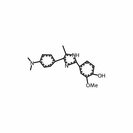 COc1cc(-c2nc(-c3ccc(N(C)C)cc3)c(C)[nH]2)ccc1O